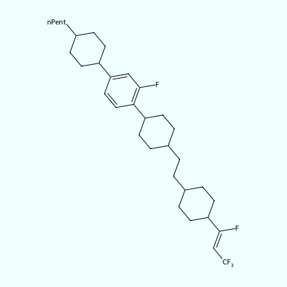 CCCCCC1CCC(c2ccc(C3CCC(CCC4CCC(/C(F)=C/C(F)(F)F)CC4)CC3)c(F)c2)CC1